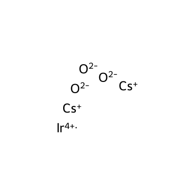 [Cs+].[Cs+].[Ir+4].[O-2].[O-2].[O-2]